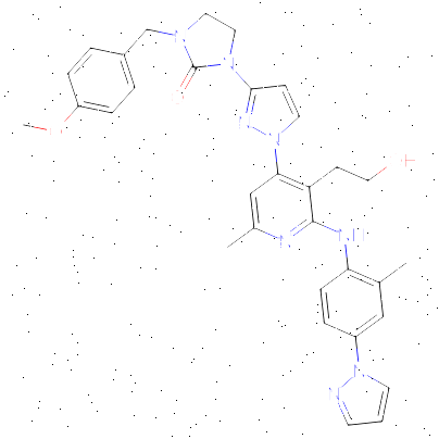 COc1ccc(CN2CCN(c3ccn(-c4cc(C)nc(Nc5ccc(-n6cccn6)cc5C)c4CCO)n3)C2=O)cc1